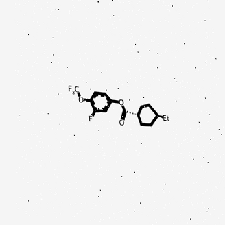 CC[C@H]1CC[C@H](C(=O)Oc2ccc(OC(F)(F)F)c(F)c2)CC1